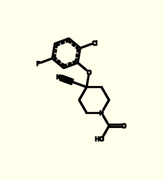 N#CC1(Oc2cc(F)ccc2Cl)CCN(C(=O)O)CC1